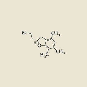 Cc1cc(C)c2c(c1C)O[C@H](CCBr)C2